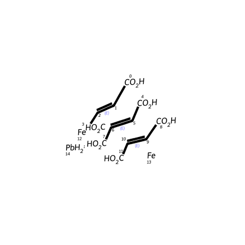 O=C(O)/C=C/C(=O)O.O=C(O)/C=C/C(=O)O.O=C(O)/C=C/C(=O)O.[Fe].[Fe].[PbH2]